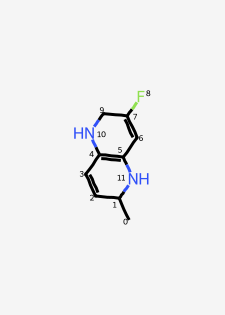 CC1C=CC2=C(C=C(F)CN2)N1